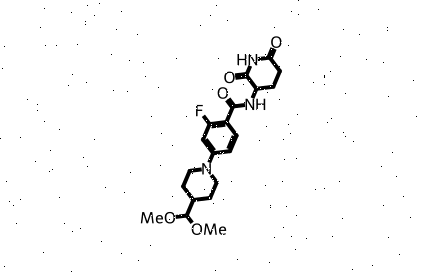 COC(OC)C1CCN(c2ccc(C(=O)NC3CCC(=O)NC3=O)c(F)c2)CC1